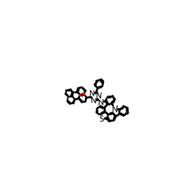 c1ccc(-c2nc(-c3ccc(-c4cccc5cccc(-c6ccccc6)c45)cc3)nc(-n3c4ccc5sc6ccc7c8ccccc8n8c9cccc3c9c4c5c6c78)n2)cc1